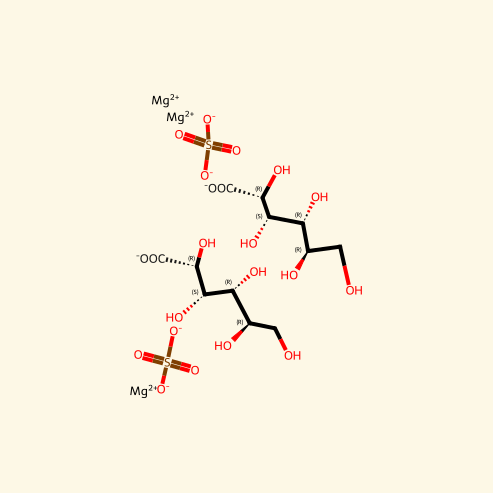 O=C([O-])[C@H](O)[C@@H](O)[C@H](O)[C@H](O)CO.O=C([O-])[C@H](O)[C@@H](O)[C@H](O)[C@H](O)CO.O=S(=O)([O-])[O-].O=S(=O)([O-])[O-].[Mg+2].[Mg+2].[Mg+2]